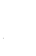 CC(C)CC(C)CC(C)c1ccccc1